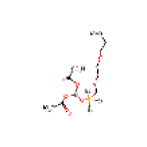 CCP(CC)(CC)(COCCOCCOC)OB(OC(=O)C(=O)O)OC(=O)C(=O)O